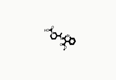 COC(=O)C(C(C)=NC(C)C1CCCN(C(=O)O)C1)c1ccccc1Br